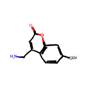 COc1ccc2c(CN)cc(=O)oc2c1